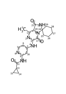 Cc1nc(Nc2ccnc(NC(=O)C3CC3)c2)c(=O)n2c1C(=O)NC21CCCCC1